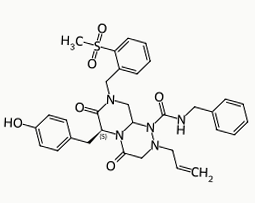 C=CCN1CC(=O)N2C(CN(Cc3ccccc3S(C)(=O)=O)C(=O)[C@@H]2Cc2ccc(O)cc2)N1C(=O)NCc1ccccc1